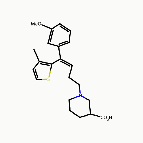 COc1cccc(/C(=C/CCN2CCCC(C(=O)O)C2)c2sccc2C)c1